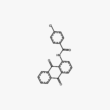 O=C(Nc1cccc2c1C(=O)c1ccccc1C2=O)c1ccc(Cl)cc1